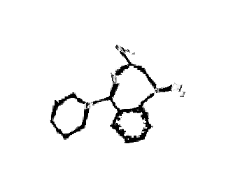 CN1CC(N)N=C(N2CCCCC2)c2ccccc21